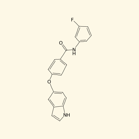 O=C(Nc1cccc(F)c1)c1ccc(Oc2ccc3[nH]ccc3c2)cc1